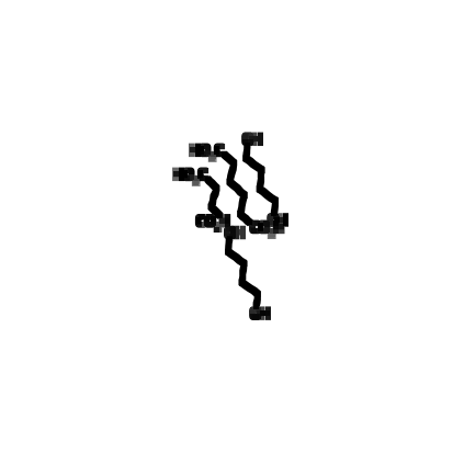 O=C(O)CCC(=O)O.O=C(O)CCCCC(=O)O.OCCCCO.OCCCCO